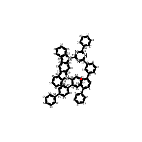 c1ccc(-c2ccc(-c3cccc(-c4nc(-c5ccccc5)nc(-n5c6ccccc6c6cc7c8ccccc8n(-c8ccccc8-c8ccc(-c9ccccc9)cc8)c7cc65)n4)c3)cc2)cc1